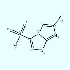 O=S(=O)(Cl)c1csc2nc(Cl)cn12